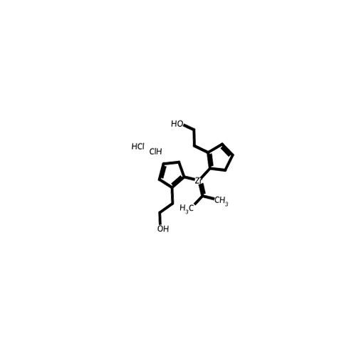 C[C](C)=[Zr]([C]1=C(CCO)C=CC1)[C]1=C(CCO)C=CC1.Cl.Cl